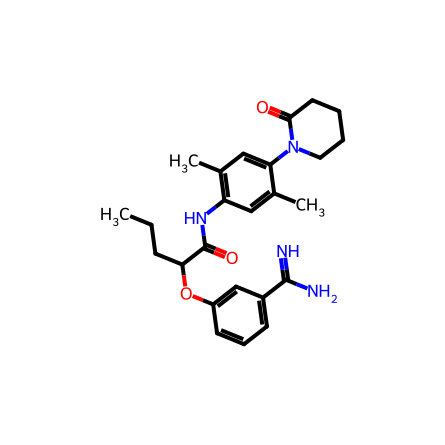 CCCC(Oc1cccc(C(=N)N)c1)C(=O)Nc1cc(C)c(N2CCCCC2=O)cc1C